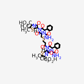 CC1(C)S[C@@H]2[C@H](N(C(=O)CCSCCC(=O)N(C(=O)C(NC(N)=O)c3ccccc3)[C@@H]3C(=O)N4[C@@H]3SC(C)(C)[C@@H]4C(=O)O)C(=O)C(NC(N)=O)c3ccccc3)C(=O)N2[C@H]1C(=O)O